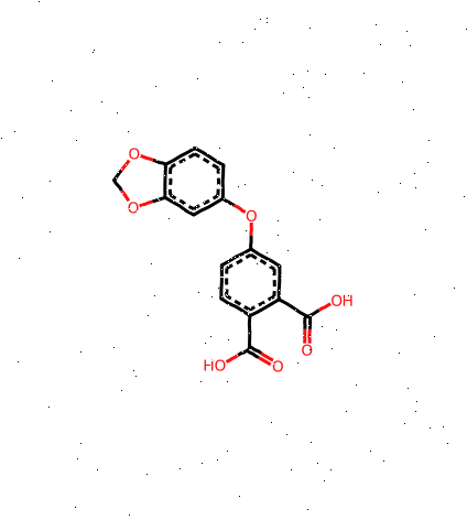 O=C(O)c1ccc(Oc2ccc3c(c2)OCO3)cc1C(=O)O